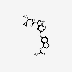 CC(=O)N[C@@H]1CCc2ccc(Oc3cnc4[nH]cc(C(=O)N[C@H](C)C5CC5)c4n3)cc21